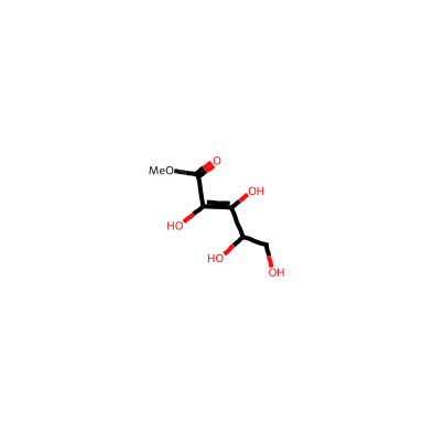 COC(=O)/C(O)=C(\O)C(O)CO